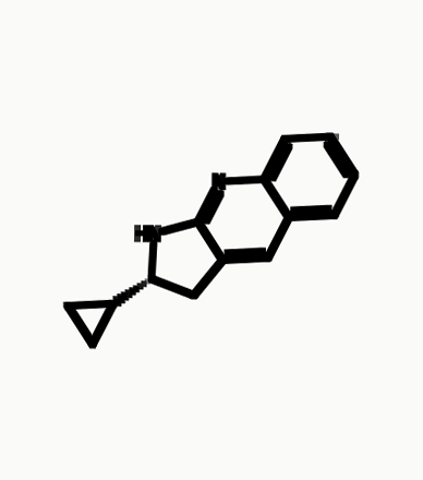 [c]1ccc2cc3c(nc2c1)N[C@@H](C1CC1)C3